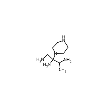 CC(N)C(N)(CN)N1CCNCC1